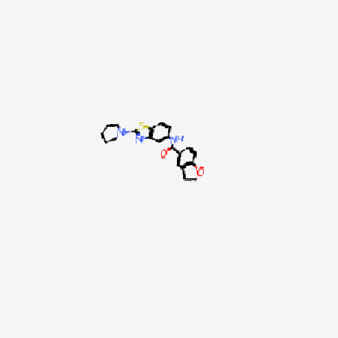 O=C(Nc1ccc2sc(N3CCCCC3)nc2c1)c1ccc2c(c1)CCO2